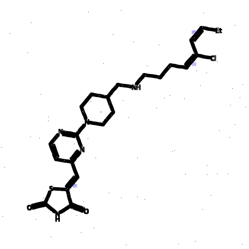 CC/C=C\C(Cl)=C/CCCNCC1CCN(c2nccc(/C=C3\SC(=O)NC3=O)n2)CC1